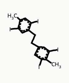 Cc1cc(I)c(CCc2cc(I)c(C)c(I)c2)cc1I